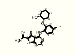 Cc1c(C(N)=O)sc2ncnc(Nc3ccc(F)cc3O[C@H]3CCCC[C@@H]3O)c12